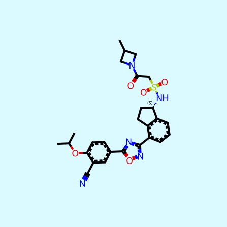 CC1CN(C(=O)CS(=O)(=O)N[C@H]2CCc3c(-c4noc(-c5ccc(OC(C)C)c(C#N)c5)n4)cccc32)C1